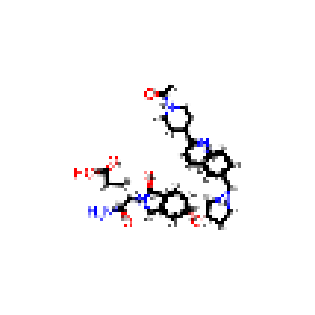 CC(=O)N1CCC(c2ccc3cc(CN4CC[C@H](Oc5ccc6c(c5)CN([C@@H](CCC(=O)O)C(N)=O)C6=O)C4)ccc3n2)CC1